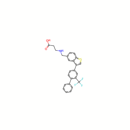 O=C(O)CCNCc1ccc2scc(-c3ccc(-c4ccccc4)c(C(F)(F)F)c3)c2c1